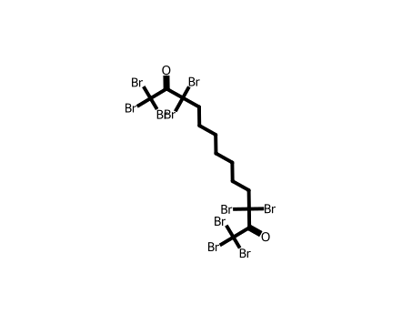 O=C(C(Br)(Br)Br)C(Br)(Br)CCCCCCCC(Br)(Br)C(=O)C(Br)(Br)Br